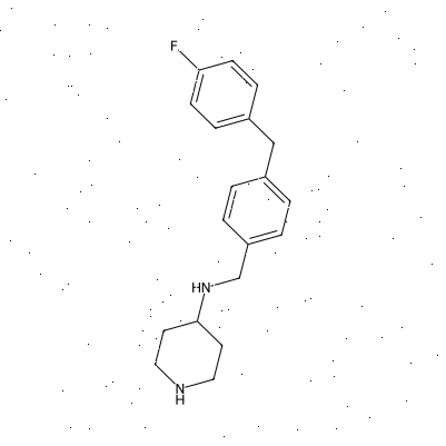 Fc1ccc(Cc2ccc(CNC3CCNCC3)cc2)cc1